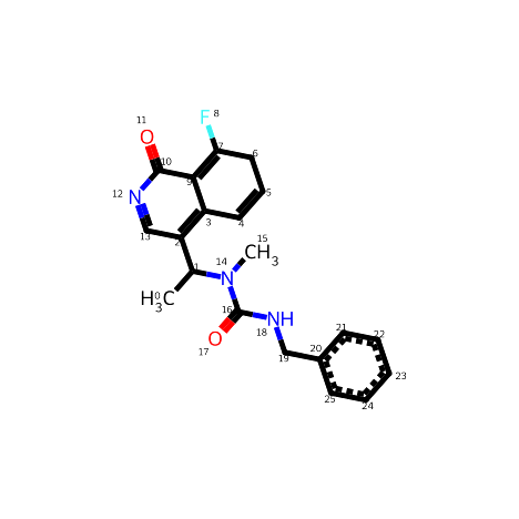 CC(C1=C2C=CCC(F)=C2C(=O)N=C1)N(C)C(=O)NCc1ccccc1